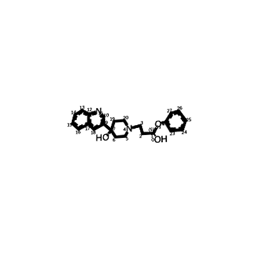 O[C@H](CCN1CCC(O)(c2cnc3ccccc3c2)CC1)Oc1ccccc1